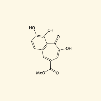 COC(=O)c1cc(O)c(=O)c2c(O)c(O)ccc2c1